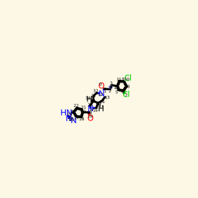 O=C(/C=C/c1cc(Cl)cc(Cl)c1)N1CC[C@@H]2CN(C(=O)c3ccc4[nH]nnc4c3)C[C@@H]2CC1